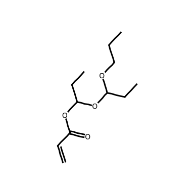 C=CC(=O)OC(CC)OC(CC)OCCC